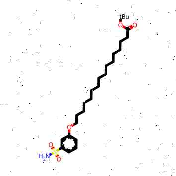 CC(C)(C)OC(=O)CCCCCCCCCCCCCCCOc1cccc(S(N)(=O)=O)c1